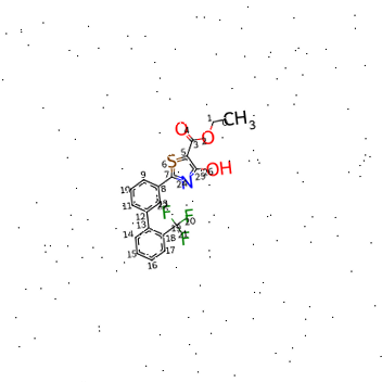 CCOC(=O)c1sc(-c2cccc(-c3ccccc3C(F)(F)F)c2)nc1O